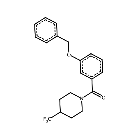 O=C(c1cccc(OCc2ccccc2)c1)N1CCC(C(F)(F)F)CC1